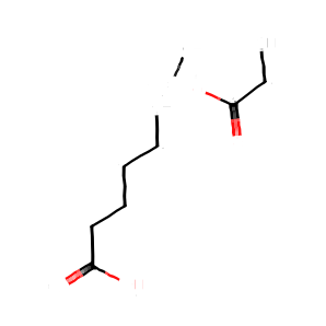 CC(=O)O.CCC(=O)O.CCCCCC(=O)O